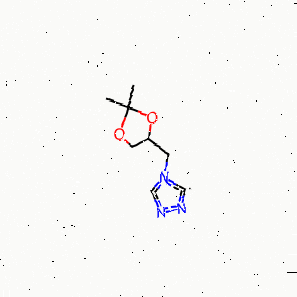 CC1(C)OCC(Cn2[c]nnc2)O1